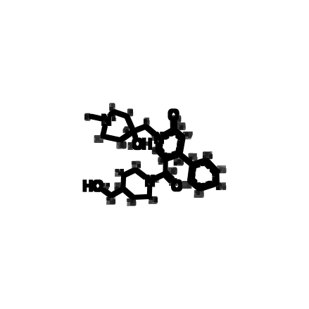 CN1CCC(O)(Cn2cc(C(=O)N3CCC(CO)CC3)c(-c3ccccc3)cc2=O)CC1